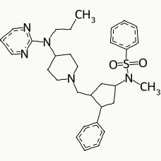 CCCN(c1ncccn1)C1CCN(CC2CC(N(C)S(=O)(=O)c3ccccc3)CC2c2ccccc2)CC1